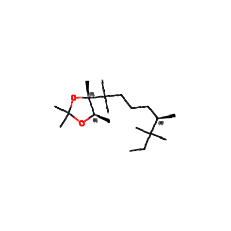 CCC(C)(C)[C@H](C)CCCC(C)(C)[C@@]1(C)OC(C)(C)O[C@@H]1C